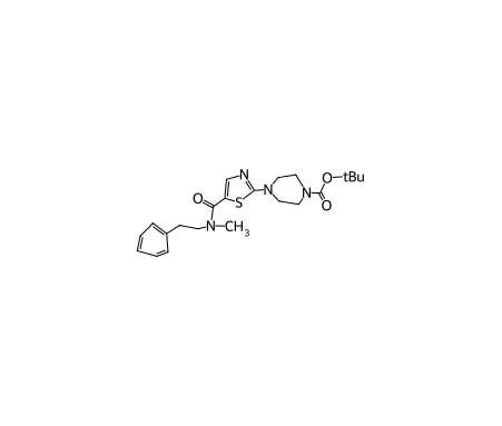 CN(CCc1ccccc1)C(=O)c1cnc(N2CCN(C(=O)OC(C)(C)C)CC2)s1